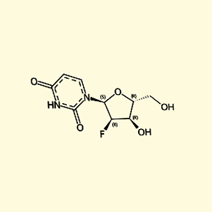 O=c1ccn([C@H]2O[C@H](CO)[C@@H](O)[C@H]2F)c(=O)[nH]1